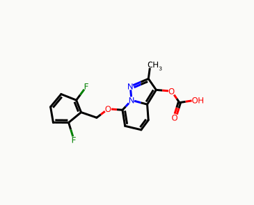 Cc1nn2c(OCc3c(F)cccc3F)cccc2c1OC(=O)O